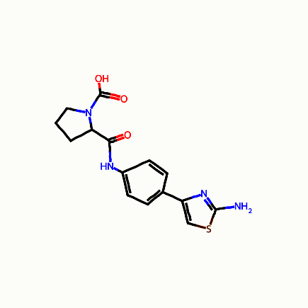 Nc1nc(-c2ccc(NC(=O)C3CCCN3C(=O)O)cc2)cs1